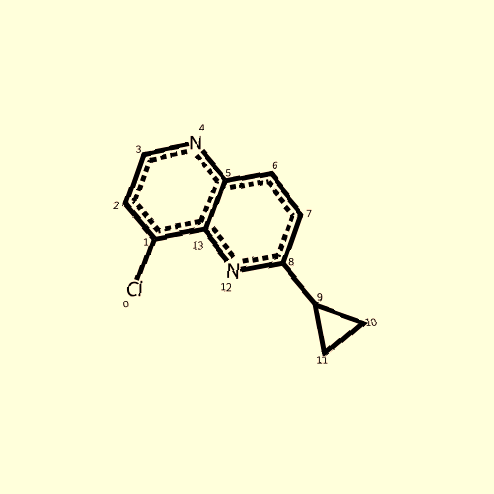 Clc1ccnc2ccc(C3CC3)nc12